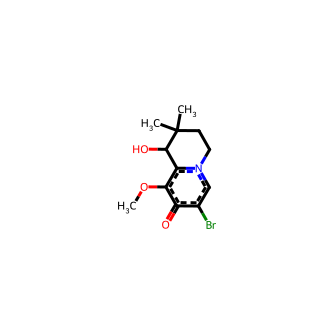 COc1c2n(cc(Br)c1=O)CCC(C)(C)C2O